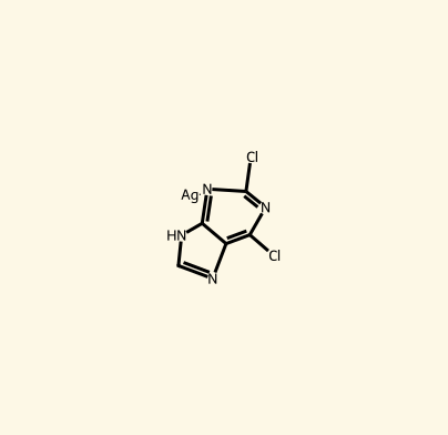 Clc1nc(Cl)c2nc[nH]c2n1.[Ag]